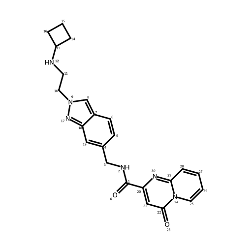 O=C(NCc1ccc2cn(CCNC3CCC3)nc2c1)c1cc(=O)n2ccccc2n1